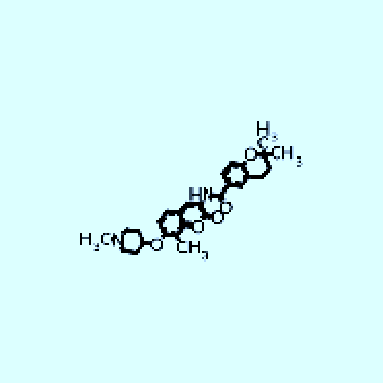 Cc1c(OC2CCN(C)CC2)ccc2cc(NC(=O)c3ccc4c(c3)CCC(C)(C)O4)c(=O)oc12